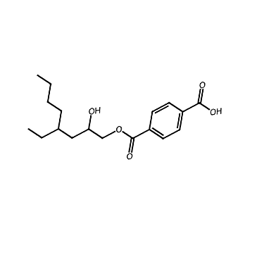 CCCCC(CC)CC(O)COC(=O)c1ccc(C(=O)O)cc1